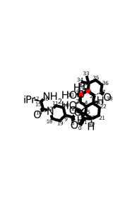 C=C1C(=O)[C@]23[C@H](OC(=O)C4CCN(C(=O)[C@H](N)C(C)C)CC4)[C@H]1CC[C@H]2[C@@]12CO[C@@]3(O)[C@@H](O)[C@@H]1C(C)(C)CCC2=O